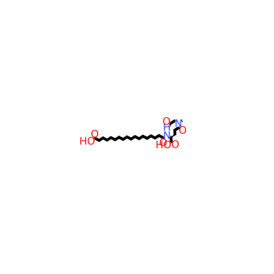 CN(C[C]=O)C(=O)CC[C@H](NC(=O)CCCCCCCCCCCCCCCCC(=O)O)C(=O)O